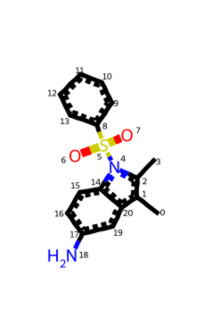 Cc1c(C)n(S(=O)(=O)c2ccccc2)c2ccc(N)cc12